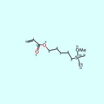 C=CC(=O)OCCCCC[Si](C)(CC)OC